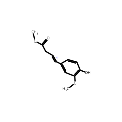 COC(=O)C/C=C/c1ccc(O)c(OC)c1